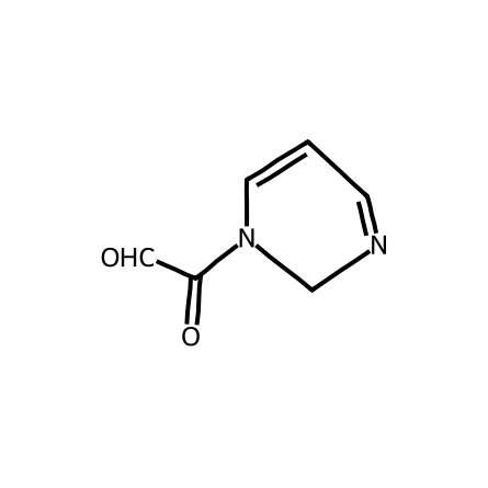 O=CC(=O)N1C=CC=NC1